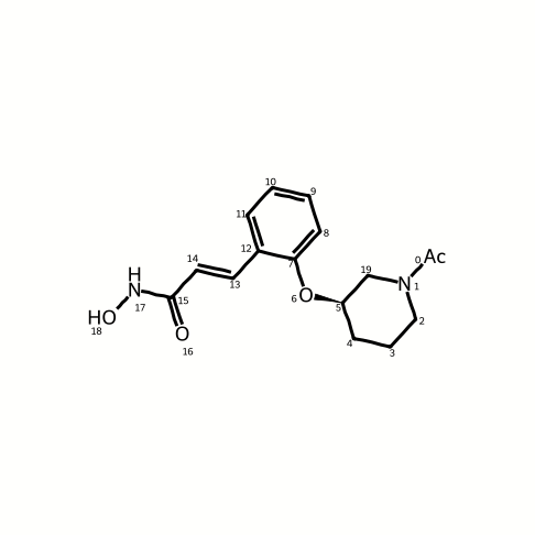 CC(=O)N1CCC[C@@H](Oc2ccccc2/C=C/C(=O)NO)C1